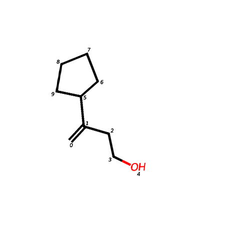 C=C(CCO)C1CCCC1